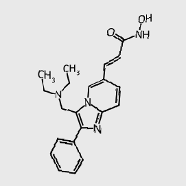 CCN(CC)Cc1c(-c2ccccc2)nc2ccc(C=CC(=O)NO)cn12